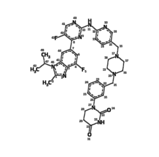 Cc1nc2c(F)cc(-c3nc(Nc4ccc(CN5CCN(Cc6cccc(N7CCC(=O)NC7=O)c6)CC5)cn4)ncc3F)cc2n1C(C)C